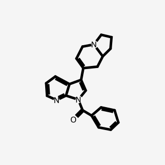 O=C(c1ccccc1)n1cc(C2=CCN3CCCC3C2)c2cccnc21